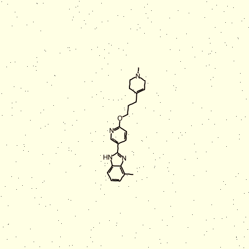 Cc1cccc2[nH]c(-c3ccc(OCCCC4=CCN(C)CC4)nc3)nc12